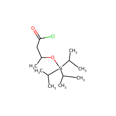 CC(CC(=O)Cl)O[Si](C(C)C)(C(C)C)C(C)C